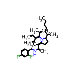 C=CC(C=C)=C(C(=C)C)N1/C(=C(\C)C(=C)NCc2ccc(F)cc2F)CCC1C(C)CCCCC